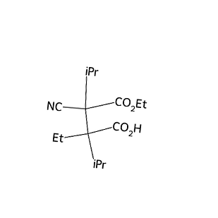 CCOC(=O)C(C#N)(C(C)C)C(CC)(C(=O)O)C(C)C